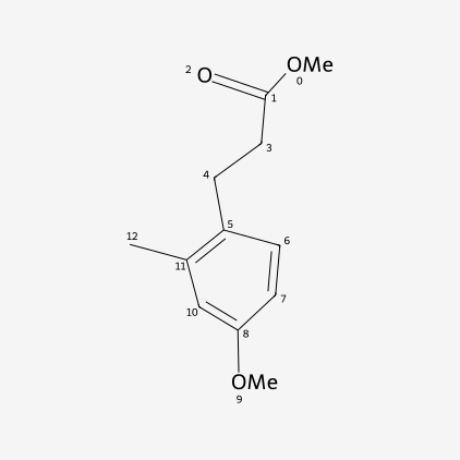 COC(=O)CCc1ccc(OC)cc1C